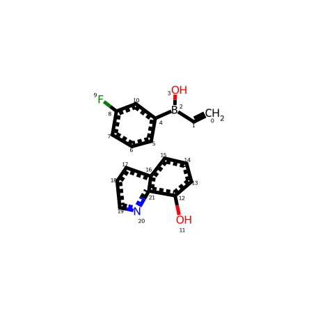 C=CB(O)c1cccc(F)c1.Oc1cccc2cccnc12